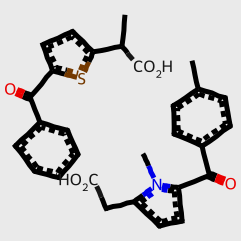 CC(C(=O)O)c1ccc(C(=O)c2ccccc2)s1.Cc1ccc(C(=O)c2ccc(CC(=O)O)n2C)cc1